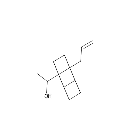 C=CCC12C3C4C5C3C1(C(C)O)C5C42